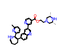 Cc1cccc(C2=C(c3ccc4ncc(-c5cc(C(=O)OCCN6C[C@@H](C)N[C@@H](C)C6)ccn5)cc4c3)CCC=CN2)n1